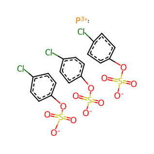 O=S(=O)([O-])Oc1ccc(Cl)cc1.O=S(=O)([O-])Oc1ccc(Cl)cc1.O=S(=O)([O-])Oc1ccc(Cl)cc1.[P+3]